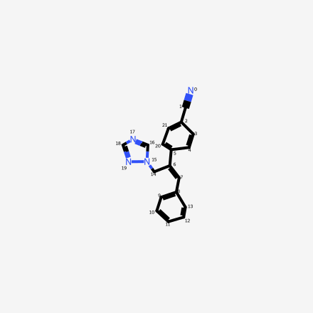 N#Cc1ccc(/C(=C/c2ccccc2)Cn2cncn2)cc1